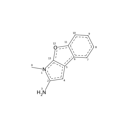 Cn1c(N)cc2c3ccccc3oc21